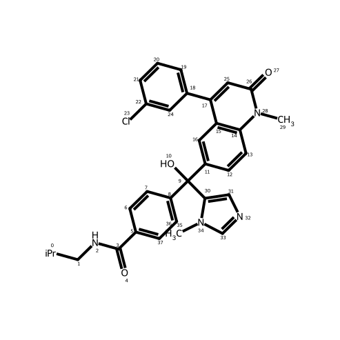 CC(C)CNC(=O)c1ccc(C(O)(c2ccc3c(c2)c(-c2cccc(Cl)c2)cc(=O)n3C)c2cncn2C)cc1